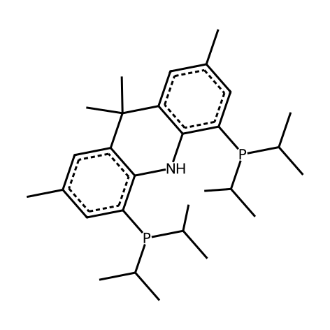 Cc1cc(P(C(C)C)C(C)C)c2c(c1)C(C)(C)c1cc(C)cc(P(C(C)C)C(C)C)c1N2